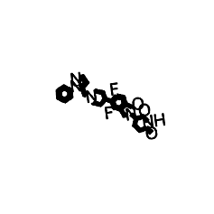 O=C1CCC(N2Cc3c(cc(F)c(C4CCN(Cc5ccnn5-c5ccccc5)CC4)c3F)C2=O)C(=O)N1